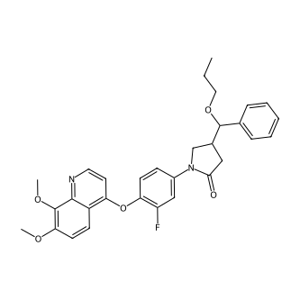 CCCOC(c1ccccc1)C1CC(=O)N(c2ccc(Oc3ccnc4c(OC)c(OC)ccc34)c(F)c2)C1